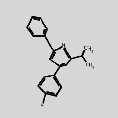 CC(C)c1[c]c(-c2ccc(F)cc2)cc(-c2ccccc2)n1